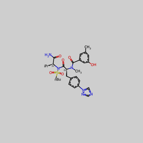 CCCCS(=O)(=O)N(C(=O)[C@H](Cc1ccc(-n2cncn2)cc1)N(C)C(=O)c1cc(C)cc(O)c1)[C@H](C(N)=O)C(C)C